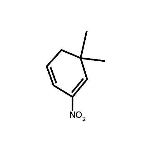 CC1(C)C=C([N+](=O)[O-])C=CC1